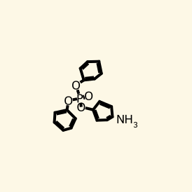 N.O=P(Oc1ccccc1)(Oc1ccccc1)Oc1ccccc1